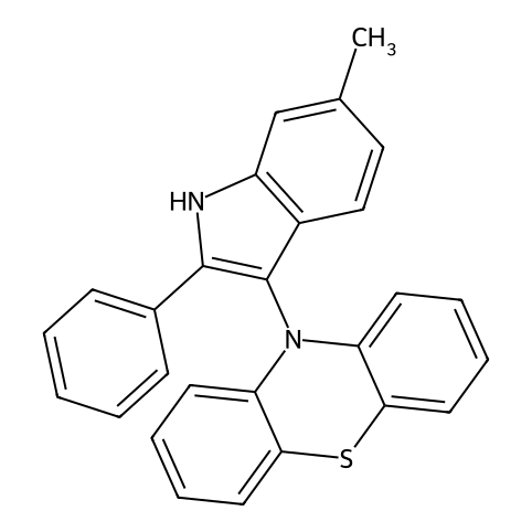 Cc1ccc2c(N3c4ccccc4Sc4ccccc43)c(-c3ccccc3)[nH]c2c1